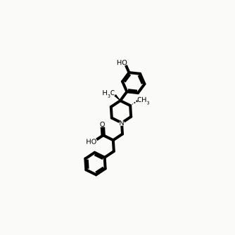 C[C@@H]1CN(CC(Cc2ccccc2)C(=O)O)CC[C@]1(C)c1cccc(O)c1